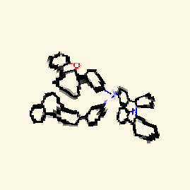 c1cc(-c2ccc3c(ccc4ccccc43)c2)cc(N(c2ccc(-c3ccccc3-n3c4ccccc4c4ccccc43)cc2)c2cccc(-c3cccc4c3oc3ccccc34)c2)c1